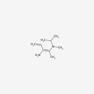 C=C/C(N)=C(/C)N(C)C(C)C